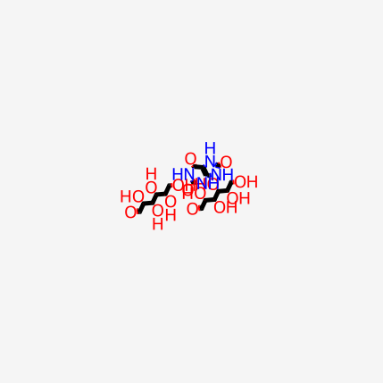 O=C[C@H](O)[C@@H](O)[C@H](O)[C@H](O)CO.O=C[C@H](O)[C@@H](O)[C@H](O)[C@H](O)CO.O=c1[nH]c(=O)c2[nH]c(=O)[nH]c2[nH]1